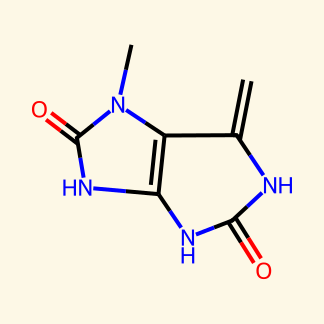 C=C1NC(=O)Nc2[nH]c(=O)n(C)c21